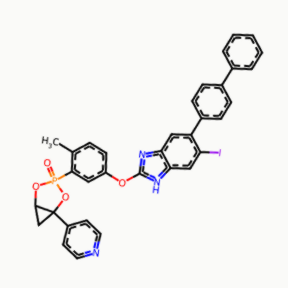 Cc1ccc(Oc2nc3cc(-c4ccc(-c5ccccc5)cc4)c(I)cc3[nH]2)cc1P1(=O)OC2CC2(c2ccncc2)O1